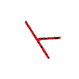 CCCCCCCCCCCCCCCCCCCCCCCCCC(C)(C)N(C(C)(C)CCCCCCCCCCCCCCCCCCCCCCCCC)C(C)(C)CCCCCCCCCCCCCCCCCCCCCCCCC